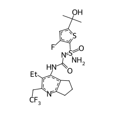 CCc1c(CC(F)(F)F)nc2c(c1NC(=O)N=S(N)(=O)c1sc(C(C)(C)O)cc1F)CCC2